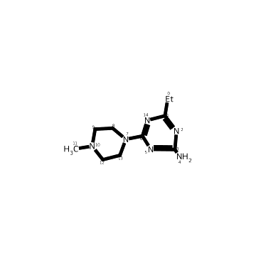 CCc1nc(N)nc(N2CCN(C)CC2)n1